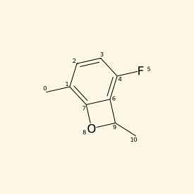 Cc1ccc(F)c2c1OC2C